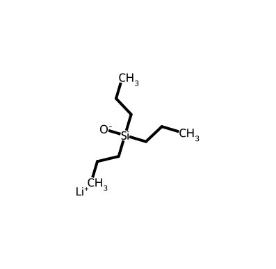 CCC[Si]([O-])(CCC)CCC.[Li+]